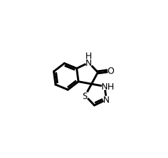 O=C1Nc2ccccc2C12NN=CS2